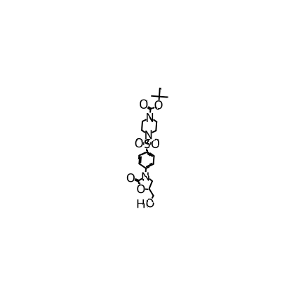 CC(C)(C)OC(=O)N1CCN(S(=O)(=O)c2ccc(N3CC(CO)OC3=O)cc2)CC1